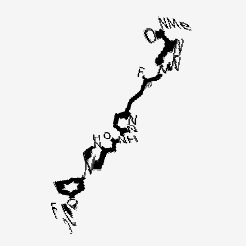 CNC(=O)c1cn(C[C@H](F)CCc2ccc(NC(=O)CC3=CN(c4cccc(OC(F)(F)F)c4)CN3)nn2)nn1